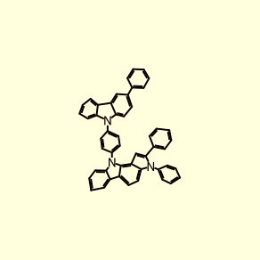 c1ccc(-c2ccc3c(c2)c2ccccc2n3-c2ccc(-n3c4ccccc4c4ccc5c(cc(-c6ccccc6)n5-c5ccccc5)c43)cc2)cc1